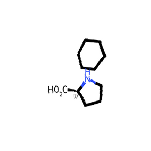 C1CCCCC1.O=C(O)[C@@H]1CCCN1